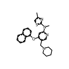 Cc1csc(N(C)c2cc(Oc3cccc4ccccc34)c(CN3CCCCC3)cn2)n1